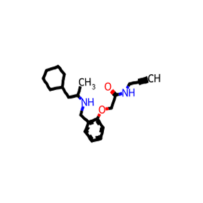 C#CCNC(=O)COc1ccccc1CNC(C)CC1CCCCC1